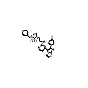 O=S1(=O)N(CCNc2nccc(-c3c(-c4ccc(F)cc4)nc4occn34)n2)CCN1CC1=CCCC=C1